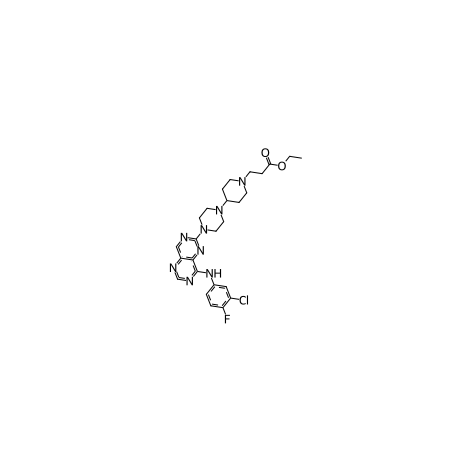 CCOC(=O)CCN1CCC(N2CCN(c3ncc4ncnc(Nc5ccc(F)c(Cl)c5)c4n3)CC2)CC1